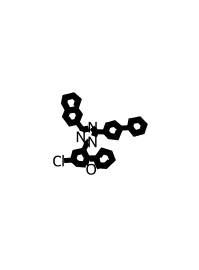 Clc1cc(-c2nc(-c3ccc(-c4ccccc4)cc3)nc(-c3ccc4ccccc4c3)n2)c2c(c1)oc1ccccc12